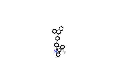 C/C1=N\c2ccccc2Cc2ccccc2-c2cc(-c3ccc(C4=CC5=CC=CCC5c5ccccc54)cc3)ccc21